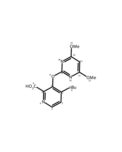 CCCCc1ccnc(C(=O)O)c1Oc1nc(OC)cc(OC)n1